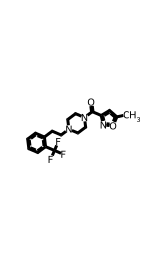 Cc1cc(C(=O)N2CCN(CCc3ccccc3C(F)(F)F)CC2)no1